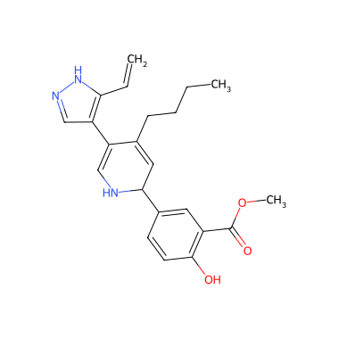 C=Cc1[nH]ncc1C1=CNC(c2ccc(O)c(C(=O)OC)c2)C=C1CCCC